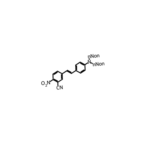 CCCCCCCCCN(CCCCCCCCC)c1ccc(C=Cc2ccc([N+](=O)[O-])c(C#N)c2)cc1